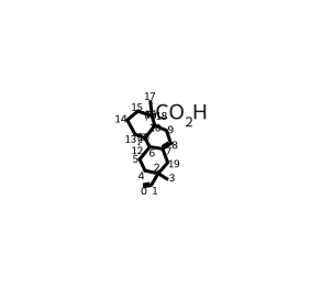 C=CC1(C)CCC2C(=CCC3[C@]2(C)CCC[C@@]3(C)C(=O)O)C1